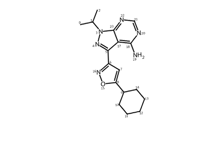 CC(C)n1nc(-c2cc(C3CCCCC3)on2)c2c(N)ncnc21